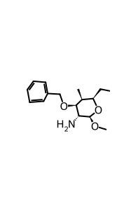 CC[C@H]1O[C@@H](OC)[C@H](N)[C@@H](OCc2ccccc2)[C@H]1C